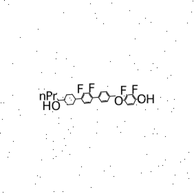 CCCC(O)C1CCC(c2ccc(-c3ccc(COc4ccc(O)c(F)c4F)cc3)c(F)c2F)CC1